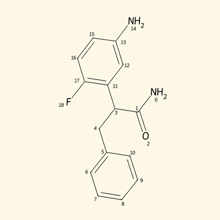 NC(=O)C(Cc1ccccc1)c1cc(N)ccc1F